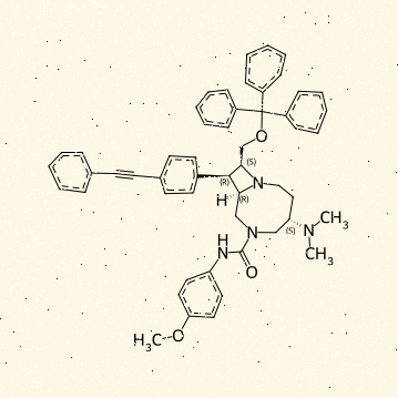 COc1ccc(NC(=O)N2C[C@@H](N(C)C)CCN3[C@H](COC(c4ccccc4)(c4ccccc4)c4ccccc4)[C@H](c4ccc(C#Cc5ccccc5)cc4)[C@@H]3C2)cc1